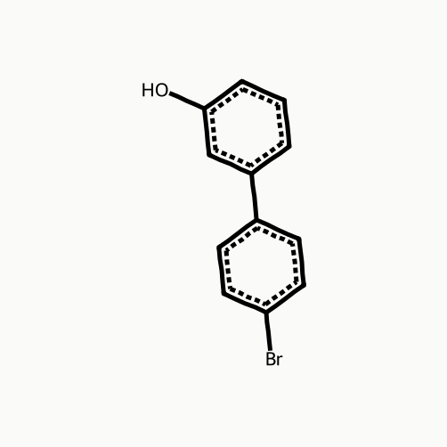 Oc1cccc(-c2ccc(Br)cc2)c1